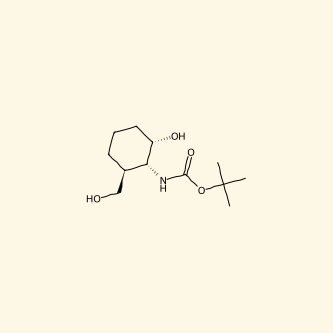 CC(C)(C)OC(=O)N[C@@H]1[C@@H](CO)CCC[C@@H]1O